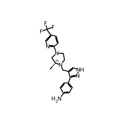 C[C@H]1CN(c2ccc(C(F)(F)F)cn2)CCN1Cc1c[nH]nc1-c1ccc(N)cc1